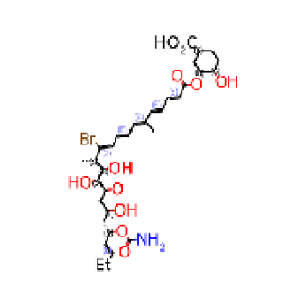 CC/C=C/[C@H](C[C@H](O)CC(=O)[C@@H](O)[C@H](O)[C@H](C)/C(Br)=C/C=C/C=C(C)/C=C/C=C/C(=O)O[C@@H]1C[C@@H](C(=O)O)CC[C@@H]1O)OC(N)=O